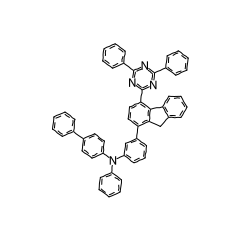 c1ccc(-c2ccc(N(c3ccccc3)c3cccc(-c4ccc(-c5nc(-c6ccccc6)nc(-c6ccccc6)n5)c5c4Cc4ccccc4-5)c3)cc2)cc1